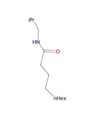 CCCCCCCCCC(=O)NCC(C)C